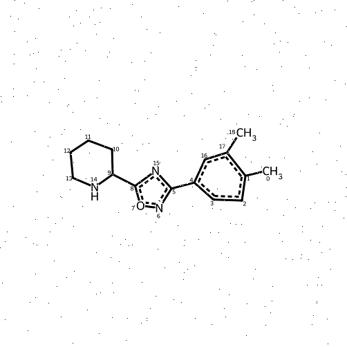 Cc1ccc(-c2noc(C3CCCCN3)n2)cc1C